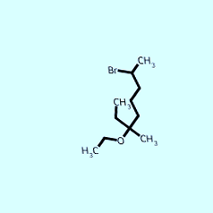 CCOC(C)(CC)CCCC(C)Br